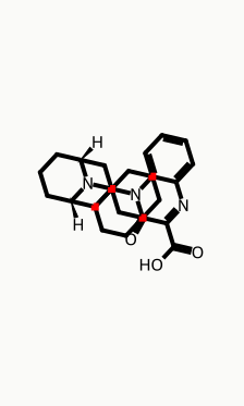 O=C(O)c1nc2ccccc2n(C2C[C@H]3CCC[C@@H](C2)N3C23CCCC(CCC2)C3)c1=O